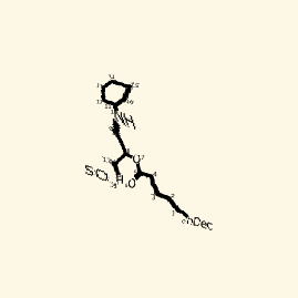 CCCCCCCCCCCCCCC(=O)OC(CNC1CCCCC1)CS(=O)(=O)O